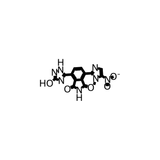 Cn1c([N+](=O)[O-])cnc1-c1ccc(-c2nc(O)n[nH]2)c2c1C(=O)NC2=O